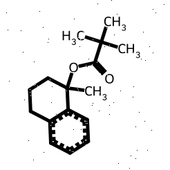 CC(C)(C)C(=O)OC1(C)CCCc2ccccc21